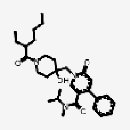 CCCCC(CC)C(=O)N1CCC(O)(Cn2cc(C(=O)N(C)C(C)C)c(-c3ccccc3)cc2=O)CC1